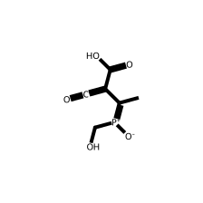 CC(C(=C=O)C(=O)O)=[P+]([O-])CO